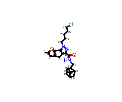 Cc1cc2c(s1)-c1c(c(C(=O)NCC3CCC4CC3C4(C)C)nn1CCCCCCl)C2